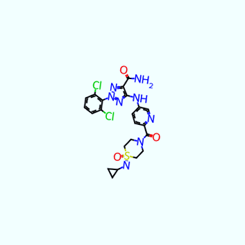 NC(=O)c1nn(-c2c(Cl)cccc2Cl)nc1Nc1ccc(C(=O)N2CCS(=O)(=NC3CC3)CC2)nc1